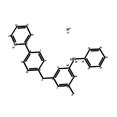 Cc1cc(Cc2ccc(-c3ccccn3)cc2)cc(Nc2ccccc2)c1.[H+]